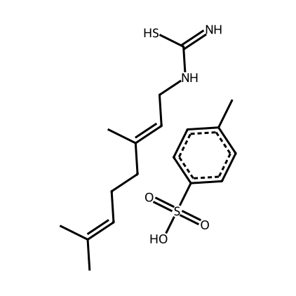 CC(C)=CCC/C(C)=C/CNC(=N)S.Cc1ccc(S(=O)(=O)O)cc1